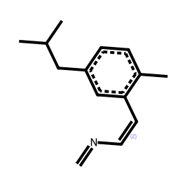 C=N/C=C\c1cc(CC(C)C)ccc1C